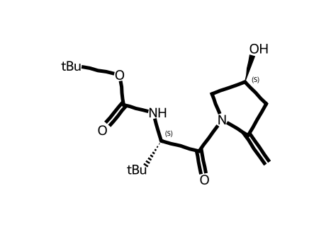 C=C1C[C@H](O)CN1C(=O)[C@@H](NC(=O)OC(C)(C)C)C(C)(C)C